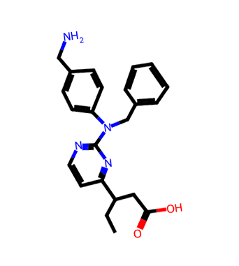 CCC(CC(=O)O)c1ccnc(N(Cc2ccccc2)c2ccc(CN)cc2)n1